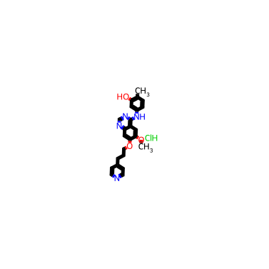 COc1cc2c(Nc3ccc(C)c(O)c3)ncnc2cc1OCCCc1ccncc1.Cl